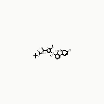 CSc1sc(C(=N)NC(=O)OC(C)(C)C)cc1S(=O)(=O)c1cccc(-c2ccc(Cl)cc2C)c1N